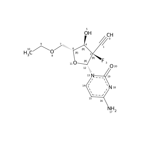 C#C[C@@]1(F)[C@H](O)[C@@H](COCC)O[C@H]1n1ccc(N)nc1=O